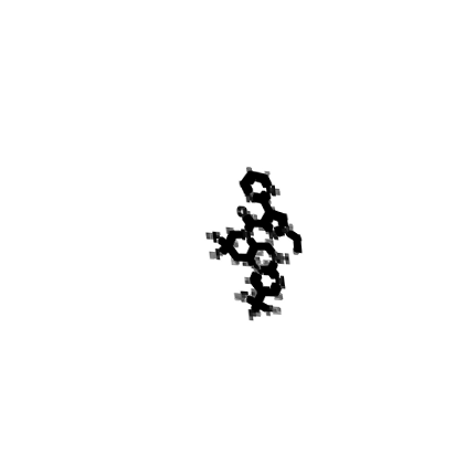 CCn1cc(-c2ncccn2)c(C(=O)N2CC(F)(F)CC(C)C2CNc2ncc(C(F)(F)F)cn2)n1